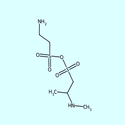 CNC(C)CS(=O)(=O)OS(=O)(=O)CCN